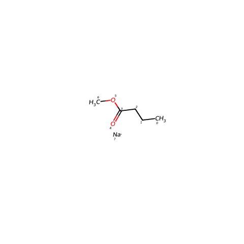 CCCC(=O)OC.[Na]